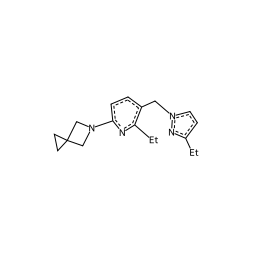 CCc1ccn(Cc2ccc(N3CC4(CC4)C3)nc2CC)n1